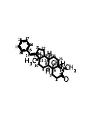 CN1C(=O)CC[C@]2(C)[C@H]3CC[C@]4(C)/C(=C/c5ccccc5)CC[C@H]4[C@@H]3CC[C@@H]12